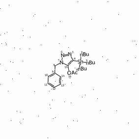 CCC[CH2][Sn]([CH2]CCC)([CH2]CCC)[c]1nnn(Cc2ccccc2)c1OC(C)=O